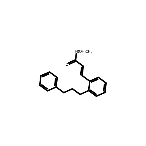 CN(O)C(=O)/C=C/c1ccccc1CCCc1ccccc1